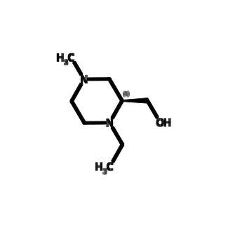 CCN1CCN(C)C[C@H]1CO